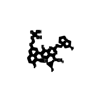 C#Cc1c(F)ccc2cc(OCOP(=O)(O)O)cc(-c3ncc4c(N(C)[C@@H]5C[C@H]5F)nc(OC[C@@]56CCCN5C[C@H](F)C6)nc4c3F)c12